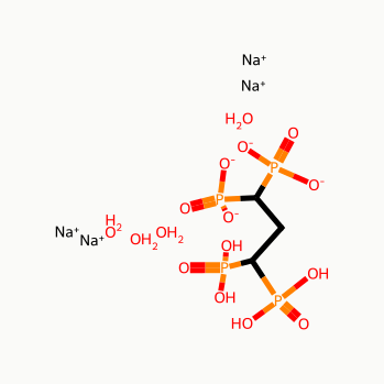 O.O.O.O.O=P([O-])([O-])C(CC(P(=O)(O)O)P(=O)(O)O)P(=O)([O-])[O-].[Na+].[Na+].[Na+].[Na+]